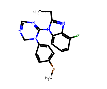 CCc1nc2c(F)cccc2n1C1=NC=NCN1c1ccc(SC)cc1